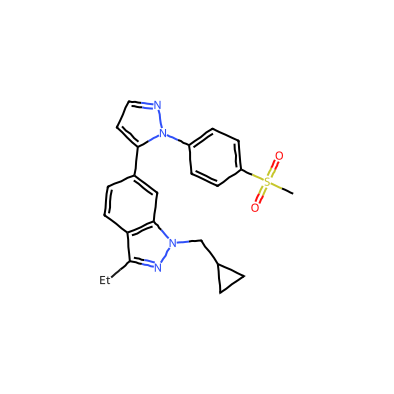 CCc1nn(CC2CC2)c2cc(-c3ccnn3-c3ccc(S(C)(=O)=O)cc3)ccc12